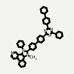 CN1c2c(c3cnccc3c3ccccc23)N(c2ccccc2)C1c1ccc(-c2ccc(-c3nc(-c4ccccc4)nc(-c4ccc(-c5ccccc5)cc4)n3)cc2)cc1